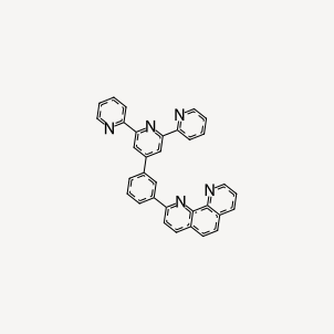 c1ccc(-c2cc(-c3cccc(-c4ccc5ccc6cccnc6c5n4)c3)cc(-c3ccccn3)n2)nc1